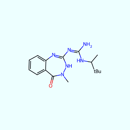 CC(NC(N)=NC1=Nc2ccccc2C(=O)N(C)N1)C(C)(C)C